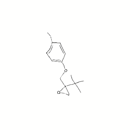 Cc1ccc(OCC2(C(C)(C)C)CO2)cc1